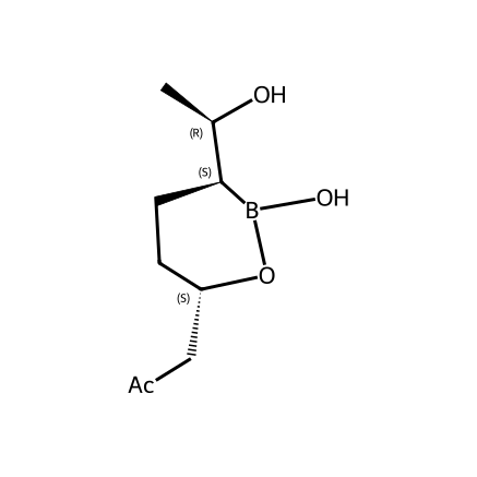 CC(=O)C[C@@H]1CC[C@@H]([C@@H](C)O)B(O)O1